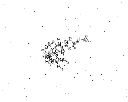 CC1(C)C(N)=N[C@]2(C)c3cc(NC(=O)c4ccc(C#CC5CC5)cn4)ccc3OCC[C@H]2S1(O)O